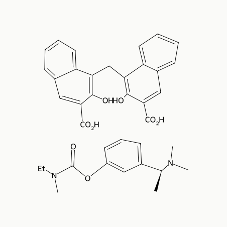 CCN(C)C(=O)Oc1cccc([C@H](C)N(C)C)c1.O=C(O)c1cc2ccccc2c(Cc2c(O)c(C(=O)O)cc3ccccc23)c1O